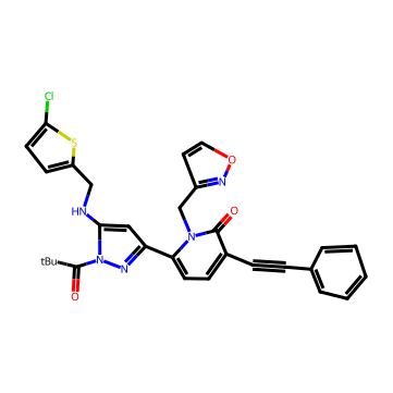 CC(C)(C)C(=O)n1nc(-c2ccc(C#Cc3ccccc3)c(=O)n2Cc2ccon2)cc1NCc1ccc(Cl)s1